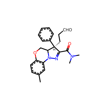 Cc1ccc2c(c1)N1N=C(C(=O)N(C)C)[C@](CCC=O)(c3ccccc3)C1CO2